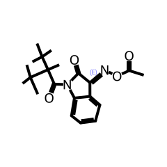 CC(=O)O/N=C1/C(=O)N(C(=O)C(C)(C(C)(C)C)C(C)(C)C)c2ccccc21